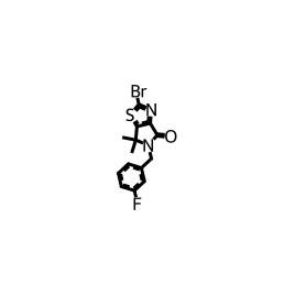 CC1(C)c2sc(Br)nc2C(=O)N1Cc1cccc(F)c1